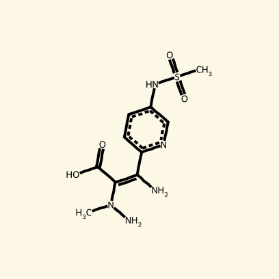 CN(N)/C(C(=O)O)=C(\N)c1ccc(NS(C)(=O)=O)cn1